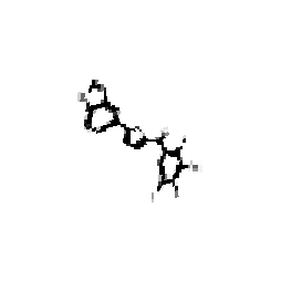 O=C(c1ccc(-c2ccc3[nH]cnc3c2)s1)c1cc(F)c(F)c(O)c1F